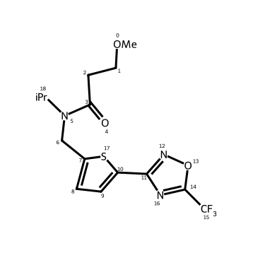 COCCC(=O)N(Cc1ccc(-c2noc(C(F)(F)F)n2)s1)C(C)C